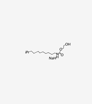 CC(C)CCCCCCCCCNC(=O)OCCO.[NaH]